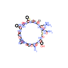 CCCC[C@H]1C(=O)N(C)[C@@H](COCC)C(=O)N[C@@H](CCCNC(=N)N)C(=O)NC(C(=O)NCC(N)=O)CSCC(=O)N[C@@H](Cc2ccc(O)cc2)C(=O)N(C)[C@@H](C)C(=O)N[C@@H](CC(N)=O)C(=O)N2CCC[C@H]2C(=O)N[C@@H](Cc2cnc[nH]2)C(=O)N[C@@H](CC(C)C)C(=O)N2CCC[C@H]2C(=O)N[C@@H](Cc2c[nH]c3ccccc23)C(=O)N[C@@H](CO)C(=O)N[C@@H](Cc2csc3ccccc23)C(=O)N1C